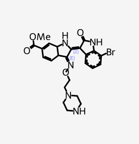 COC(=O)C1=CC2NC(=C3\C(=O)Nc4c(Br)cccc43)/C(=N/OCCN3CCNCC3)C2C=C1